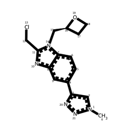 Cn1cc(-c2ccc3c(c2)nc(CCl)n3C[C@@H]2CCO2)nn1